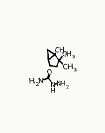 CC1(C)CCC2CC21C.NNC(N)=O